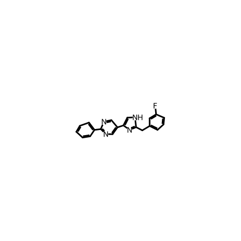 Fc1cccc(Cc2nc(-c3cnc(-c4ccccc4)nc3)c[nH]2)c1